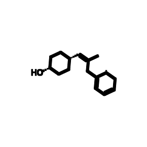 CC(=C[C@H]1CC[C@@H](O)CC1)CC1=CC=CC[CH]1